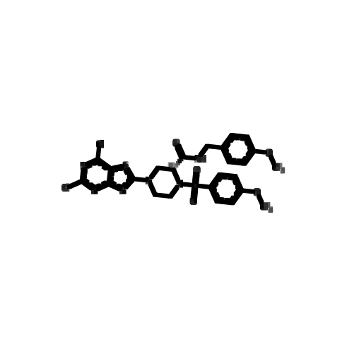 O=C(NCc1ccc(OC(F)(F)F)cc1)[C@H]1CN(c2nc3nc(Cl)nc(Cl)c3s2)CCN1S(=O)(=O)c1ccc(OC(F)(F)F)cc1